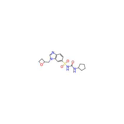 O=C(NC1CCCC1)NS(=O)(=O)c1ccc2ncn(CC3CCO3)c2c1